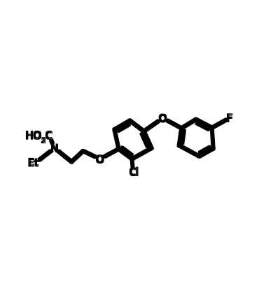 CCN(CCOc1ccc(Oc2cccc(F)c2)cc1Cl)C(=O)O